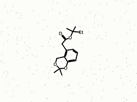 CCC(C)(C)OC(=O)Cc1cccc2c1COC(C)(C)O2